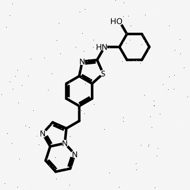 OC1CCCCC1Nc1nc2ccc(Cc3cnc4cccnn34)cc2s1